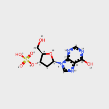 O=S(=O)(O)O[C@H]1C[C@H](n2cnc3c(O)ncnc32)O[C@@H]1CO